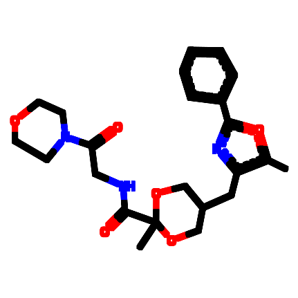 Cc1oc(-c2ccccc2)nc1CC1COC(C)(C(=O)NCC(=O)N2CCOCC2)OC1